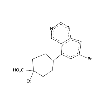 CCC1(C(=O)O)CCC(c2cc(Br)cc3ncncc23)CC1